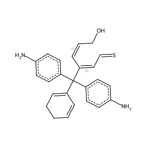 Nc1ccc(C(C2=CCCC=C2)(C(/C=C\CO)=C/C=S)c2ccc(N)cc2)cc1